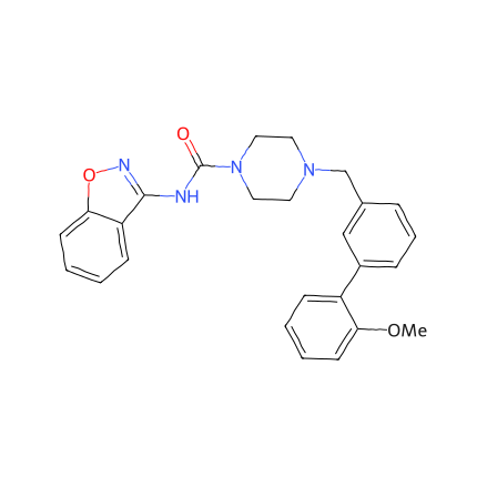 COc1ccccc1-c1cccc(CN2CCN(C(=O)Nc3noc4ccccc34)CC2)c1